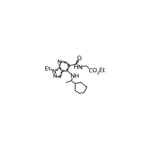 CCOC(=O)CNC(=O)c1cnc2c(cnn2CC)c1NC(C)C1CCCCC1